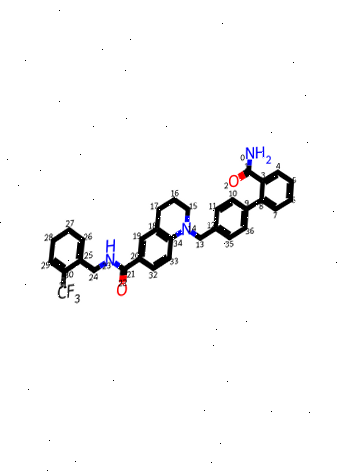 NC(=O)c1ccccc1-c1ccc(CN2CCCc3cc(C(=O)NCC4=CCCC=C4C(F)(F)F)ccc32)cc1